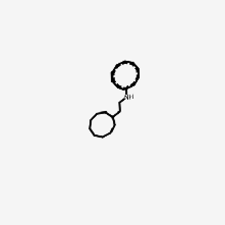 c1ccccc(NCCC2CCCCCCCC2)cccc1